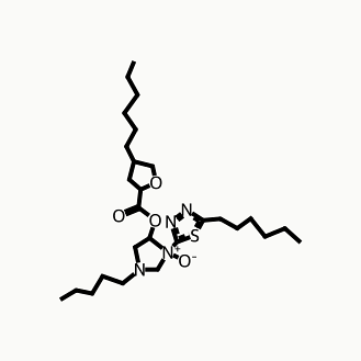 CCCCCCc1nnc([N+]2([O-])CN(CCCCC)CC2OC(=O)C2CC(CCCCCC)CO2)s1